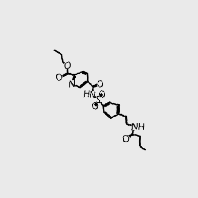 CCCOC(=O)c1ccc(C(=O)NS(=O)(=O)c2ccc(CCNC(=O)CCC)cc2)cn1